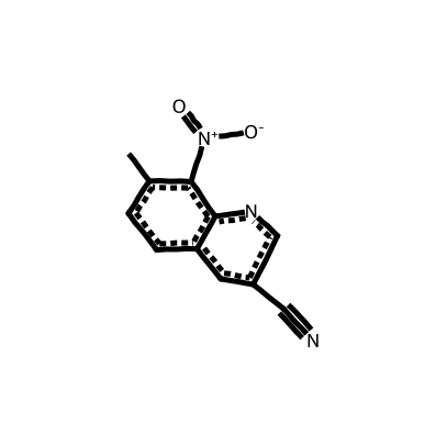 Cc1ccc2cc(C#N)cnc2c1[N+](=O)[O-]